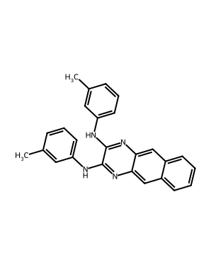 Cc1cccc(Nc2nc3cc4ccccc4cc3nc2Nc2cccc(C)c2)c1